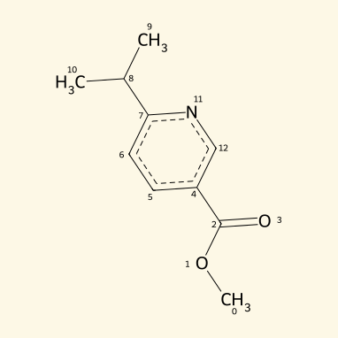 COC(=O)c1ccc(C(C)C)nc1